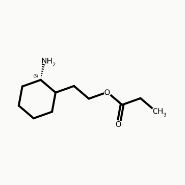 CCC(=O)OCCC1CCCC[C@@H]1N